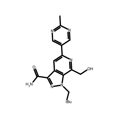 Cc1ncc(-c2cc3c(C(N)=O)nn(CC(C)(C)C)c3c(CO)n2)cn1